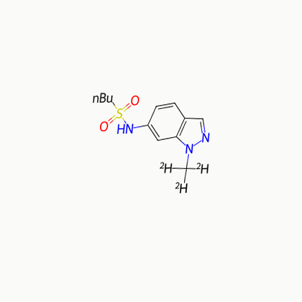 [2H]C([2H])([2H])n1ncc2ccc(NS(=O)(=O)CCCC)cc21